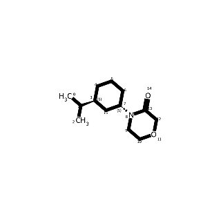 CC(C)[C@H]1CCC[C@H](N2CCOCC2=O)C1